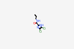 C=CCNC(=O)c1nc(Cl)c(Cl)[nH]1